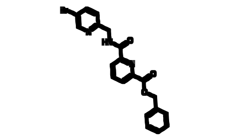 O=C(NCc1ccc(Br)cn1)c1cccc(C(=O)OCc2ccccc2)n1